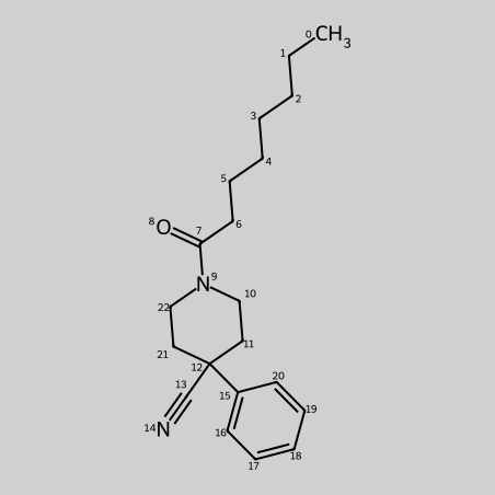 CCCCCCCC(=O)N1CCC(C#N)(c2ccccc2)CC1